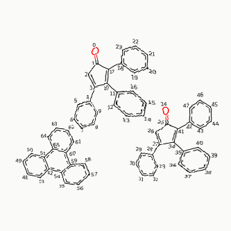 O=C1C=C(c2ccccc2)C(c2ccccc2)=C1c1ccccc1.O=C1C=C(c2ccccc2)C(c2ccccc2)=C1c1ccccc1.c1ccc2c(c1)c1ccccc1c1ccccc21